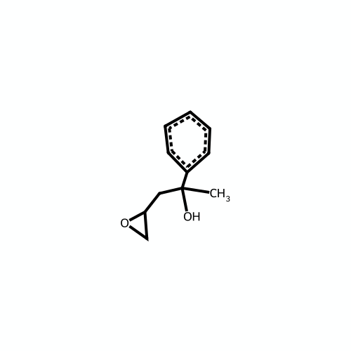 CC(O)(CC1CO1)c1ccccc1